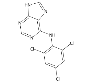 Clc1cc(Cl)c(Nc2ncnc3[nH]cnc23)c(Cl)c1